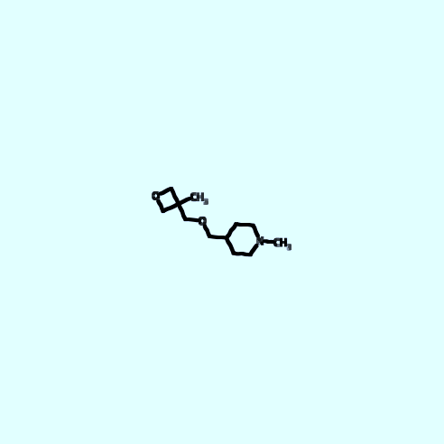 CN1CCC(COCC2(C)COC2)CC1